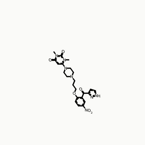 Cn1c(N2CCN(CCCOc3ccc([N+](=O)[O-])cc3C(=O)c3cc[nH]n3)CC2)cc(=O)n(C)c1=O